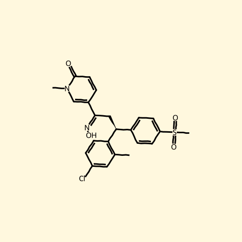 Cc1cc(Cl)ccc1[C@@H](C/C(=N\O)c1ccc(=O)n(C)c1)c1ccc(S(C)(=O)=O)cc1